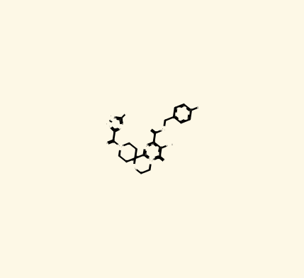 Cc1nnc(C(=O)N2CCC3(CC2)NCCn2c3nc(C(=O)NCc3ccc(F)cc3)c(O)c2=O)o1